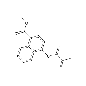 C=C(C)C(=O)Oc1ccc(C(=O)OC)c2ccccc12